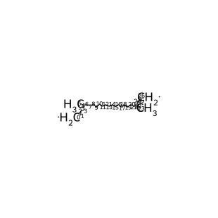 [CH2]CCCC(C)CCCCCCCCCCCC/C=C/CCC(C)CC[CH2]